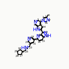 Cc1cn(-c2cncc3[nH]c(-c4n[nH]c5ccc(-c6cncc(CNCC7CCCC7)c6)nc45)cc23)cn1